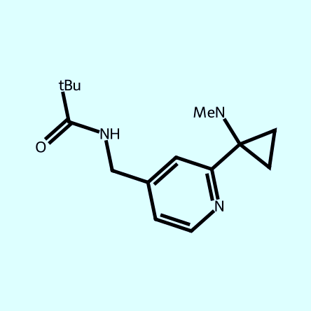 CNC1(c2cc(CNC(=O)C(C)(C)C)ccn2)CC1